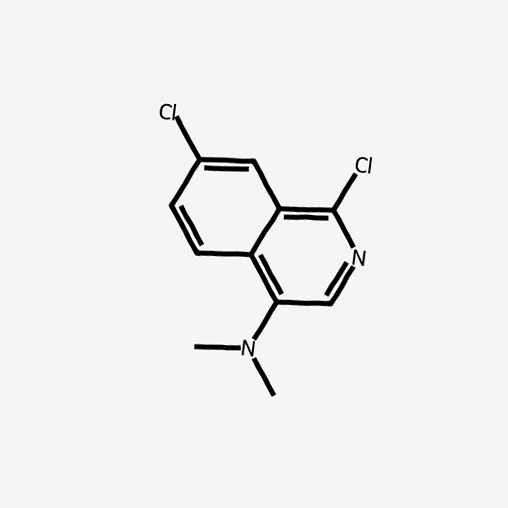 CN(C)c1cnc(Cl)c2cc(Cl)ccc12